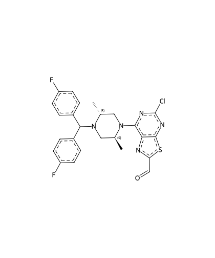 C[C@@H]1CN(c2nc(Cl)nc3sc(C=O)nc23)[C@@H](C)CN1C(c1ccc(F)cc1)c1ccc(F)cc1